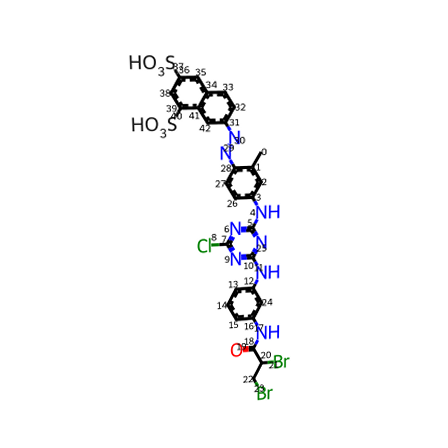 Cc1cc(Nc2nc(Cl)nc(Nc3cccc(NC(=O)C(Br)CBr)c3)n2)ccc1N=Nc1ccc2cc(S(=O)(=O)O)cc(S(=O)(=O)O)c2c1